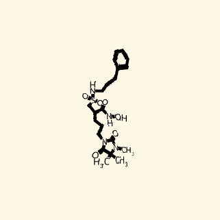 CN1C(=O)N(CCCC(CS(=O)(=O)NCCCc2ccccc2)C(=O)NO)C(=O)C1(C)C